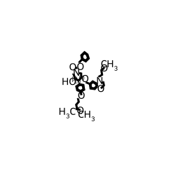 COCCCN1CCOc2ccc(CO[C@H]3CN(C(=O)OCc4ccccc4)C[C@@H](O)[C@@H]3c3ccc(OCCCC(C)OC)cc3)cc21